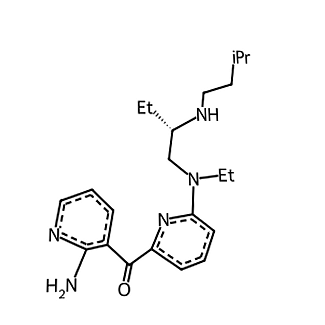 CC[C@@H](CN(CC)c1cccc(C(=O)c2cccnc2N)n1)NCCC(C)C